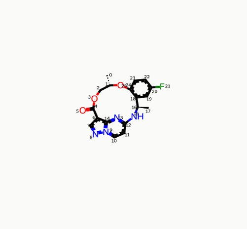 C[C@H]1COC(=O)c2cnn3ccc(nc23)N[C@H](C)c2cc(F)ccc2O1